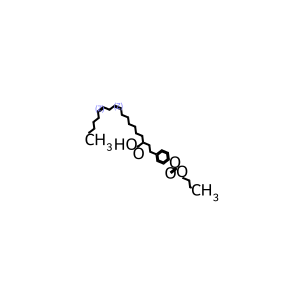 CCCCC/C=C\C/C=C\CCCCCCC(CCc1ccc(OC(=O)OCCCC)cc1)C(=O)O